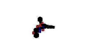 COC[C@H]1CC(C(=O)OCc2ccccc2)N(C(=O)CNC(=O)c2ccc3oc4ccccc4c3c2)C1